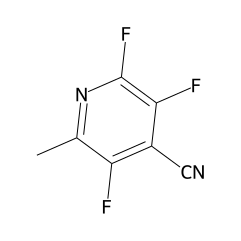 Cc1nc(F)c(F)c(C#N)c1F